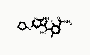 NC(=O)c1ccc(F)c(C(O)c2c[nH]c3ncc(OC4CCCC4)cc23)c1F